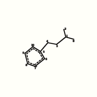 CC(C)CCc1c[c]ccc1